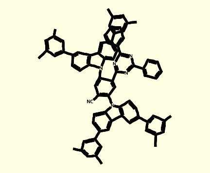 Cc1cc(C)cc(-c2ccc3c(c2)c2cc(-c4cc(C)cc(C)c4)ccc2n3-c2cc(-c3nc(-c4ccccc4)nc(-c4ccccc4)n3)c(-n3c4ccc(-c5cc(C)cc(C)c5)cc4c4cc(-c5cc(C)cc(C)c5)ccc43)cc2C#N)c1